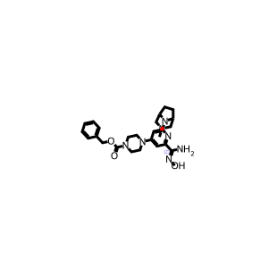 CN1CC2CCC(C1)N2c1cc(N2CCN(C(=O)OCc3ccccc3)CC2)cc(/C(N)=N/O)n1